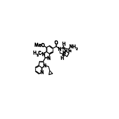 COc1cc(C(=O)N2C[C@H]3CC4[C@H]3[C@H]2[C@H]4N)cc2nc(-c3cc4cccnc4n3CC3CC3)n(C)c12